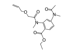 C=CCOCC(=O)N(C)c1cc(N(C)C(C)=O)ccc1C(=O)OCC